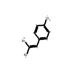 CC(=O)C(=Cc1ccc(C(F)(F)F)cc1)C(C)=O